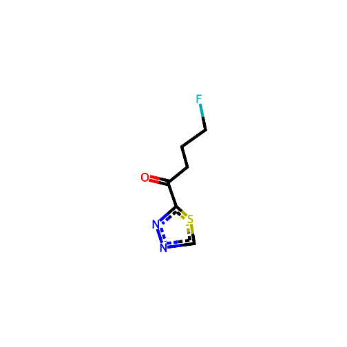 O=C(CCCF)c1nncs1